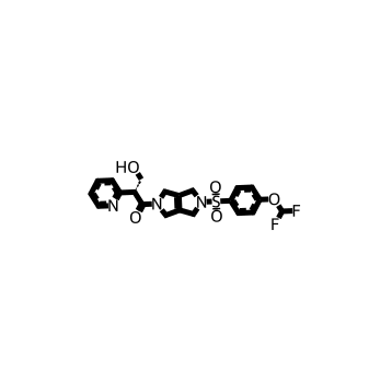 O=C([C@@H](CO)c1ccccn1)N1CC2=C(C1)CN(S(=O)(=O)c1ccc(OC(F)F)cc1)C2